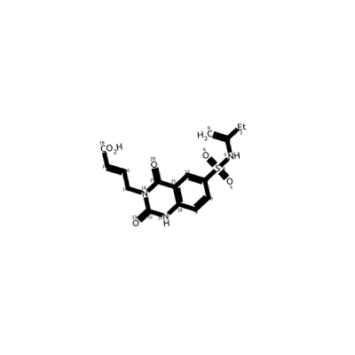 C=C(CC)NS(=O)(=O)c1ccc2[nH]c(=O)n(C/C=C/C(=O)O)c(=O)c2c1